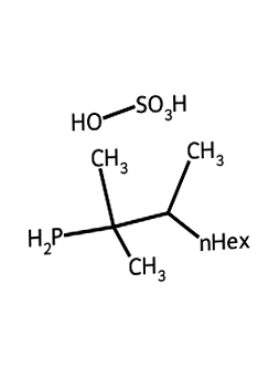 CCCCCCC(C)C(C)(C)P.O=S(=O)(O)O